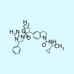 C=CC(c1ccc2c(c1)CCN2C(=O)NC(C)C1CC1)S(=O)(=O)N1CC(c2ccccc2)N=C1N